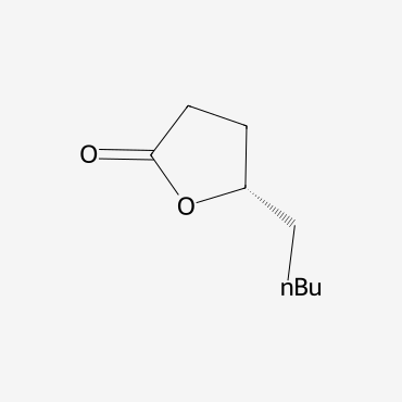 CCCCC[C@H]1CCC(=O)O1